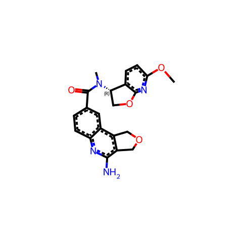 COc1ccc2c(n1)OC[C@@H]2N(C)C(=O)c1ccc2nc(N)c3c(c2c1)COC3